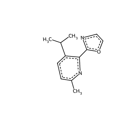 Cc1ccc(C(C)C)c(-c2ncco2)n1